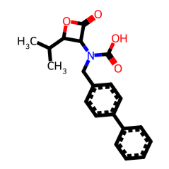 CC(C)C1OC(=O)C1N(Cc1ccc(-c2ccccc2)cc1)C(=O)O